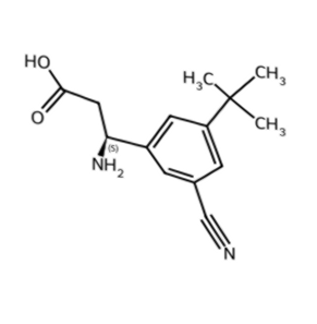 CC(C)(C)c1cc(C#N)cc([C@@H](N)CC(=O)O)c1